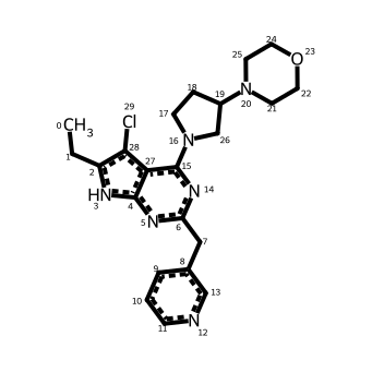 CCc1[nH]c2nc(Cc3cccnc3)nc(N3CCC(N4CCOCC4)C3)c2c1Cl